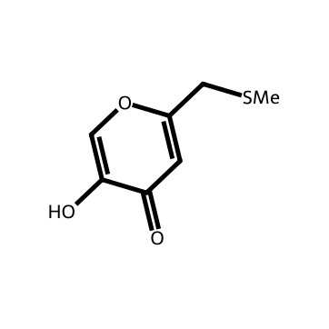 CSCc1cc(=O)c(O)co1